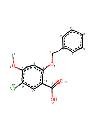 COc1cc(OCc2ccccc2)c(C(=O)O)cc1Cl